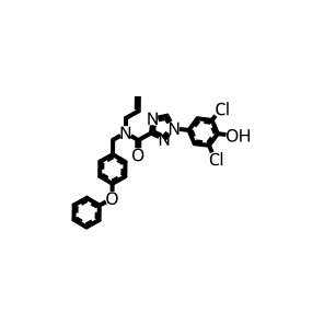 C=CCN(Cc1ccc(Oc2ccccc2)cc1)C(=O)c1ncn(-c2cc(Cl)c(O)c(Cl)c2)n1